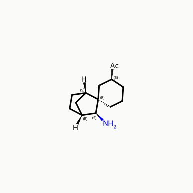 CC(=O)[C@H]1CCC[C@@]2(C1)[C@H]1CC[C@H](C1)[C@@H]2N